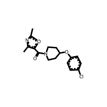 Cc1nc(C)c(C(=O)N2CCC(Oc3ccc(Cl)cc3)CC2)o1